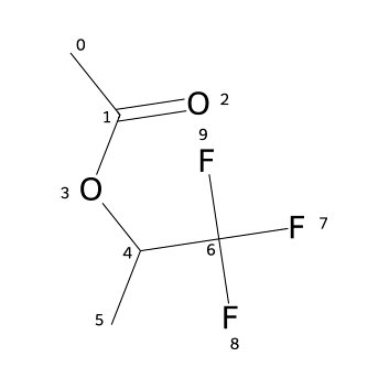 CC(=O)OC(C)C(F)(F)F